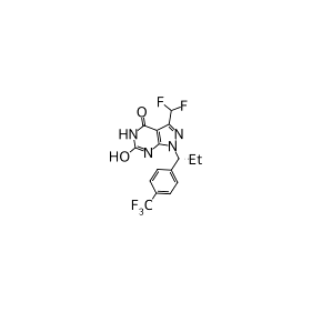 CC[C@H](c1ccc(C(F)(F)F)cc1)n1nc(C(F)F)c2c(=O)[nH]c(O)nc21